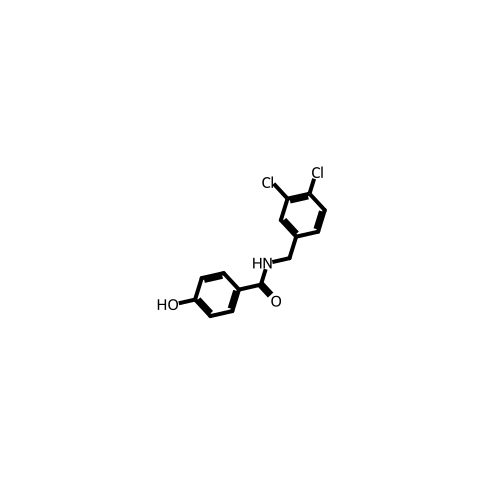 O=C(NCc1ccc(Cl)c(Cl)c1)c1ccc(O)cc1